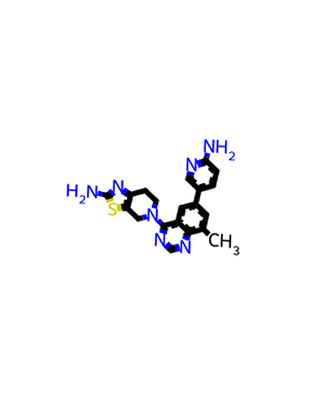 Cc1cc(-c2ccc(N)nc2)cc2c(N3CCc4nc(N)sc4C3)ncnc12